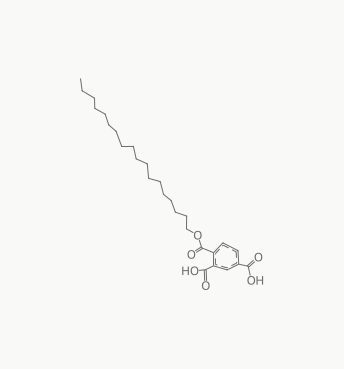 CCCCCCCCCCCCCCCCCCOC(=O)c1ccc(C(=O)O)cc1C(=O)O